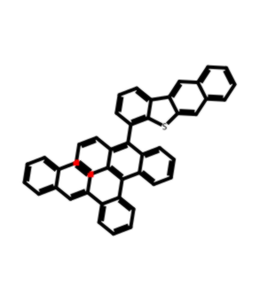 c1ccc(-c2c3ccccc3c(-c3cccc4c3sc3cc5ccccc5cc34)c3ccccc23)c(-c2ccc3ccccc3c2)c1